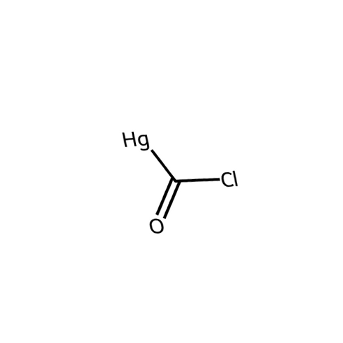 O=[C](Cl)[Hg]